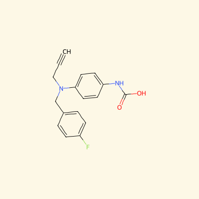 C#CCN(Cc1ccc(F)cc1)c1ccc(NC(=O)O)cc1